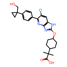 CC(C)(C(=O)O)C1CCC(Oc2nc3nc(-c4ccc(C5(CO)CC5)cc4)c(Cl)cc3[nH]2)CC1